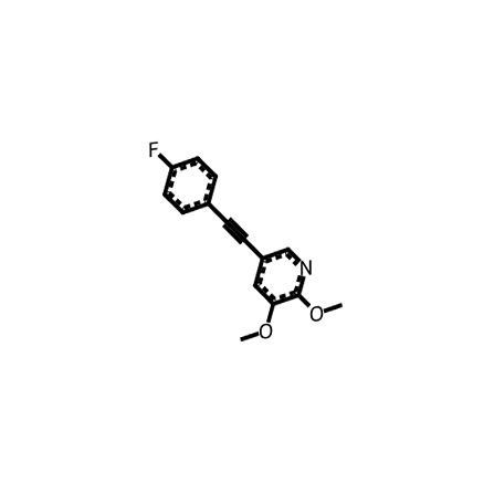 COc1cc(C#Cc2ccc(F)cc2)cnc1OC